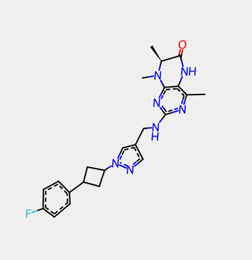 Cc1nc(NCc2cnn(C3CC(c4ccc(F)cc4)C3)c2)nc2c1NC(=O)[C@H](C)N2C